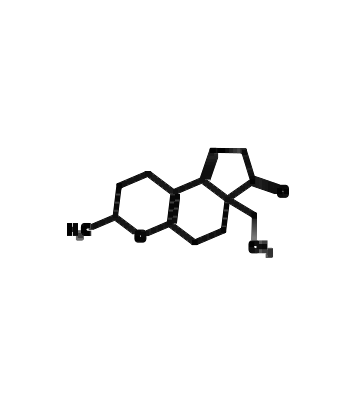 CCC12CCC3=C(CCC(C)O3)C1=CCC2=O